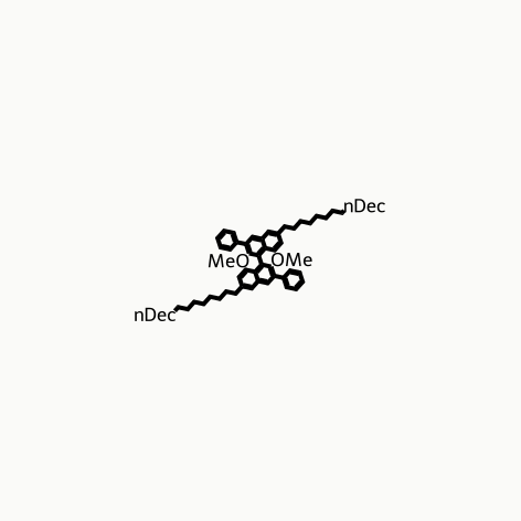 CCCCCCCCCCCCCCCCCCc1ccc2c(-c3c(OC)c(-c4ccccc4)cc4cc(CCCCCCCCCCCCCCCCCC)ccc34)c(OC)c(-c3ccccc3)cc2c1